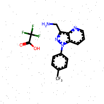 NCc1nn(-c2ccc(C(F)(F)F)cc2)c2cccnc12.O=C(O)C(F)(F)F